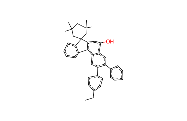 CCc1ccc(-c2cc3c4c(cc(O)c3cc2-c2ccccc2)C2(CC(C)(C)CC(C)(C)C2)c2ccccc2-4)cc1